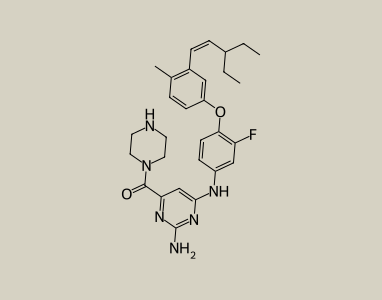 CCC(/C=C\c1cc(Oc2ccc(Nc3cc(C(=O)N4CCNCC4)nc(N)n3)cc2F)ccc1C)CC